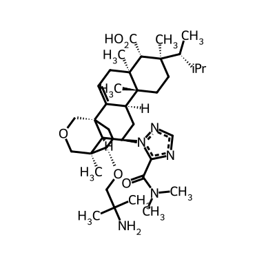 CC(C)[C@@H](C)[C@@]1(C)CC[C@]2(C)[C@H]3CC[C@@H]4[C@@]5(COC[C@]4(C)[C@@H](OCC(C)(C)N)[C@H](n4ncnc4C(=O)N(C)C)C5)C3=CC[C@@]2(C)[C@@H]1C(=O)O